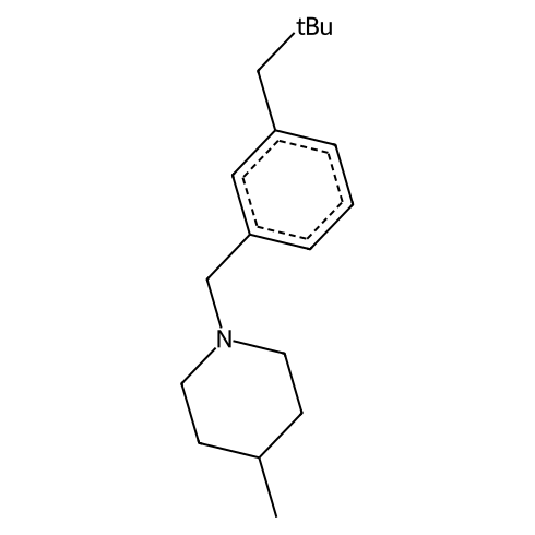 CC1CCN(Cc2cccc(CC(C)(C)C)c2)CC1